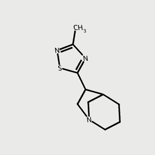 Cc1nsc(C2CN3CCCC2C3)n1